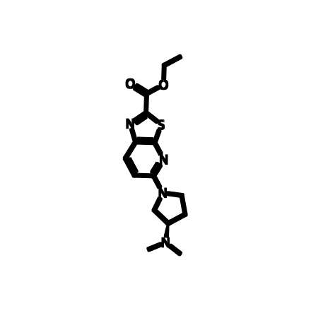 CCOC(=O)c1nc2ccc(N3CC[C@@H](N(C)C)C3)nc2s1